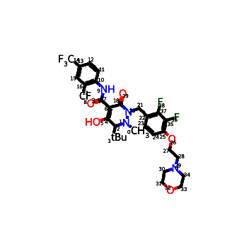 CN1C(C(C)(C)C)C(O)=C(C(=O)Nc2ccc(C(F)(F)F)cc2C(F)(F)F)C(=O)N1Cc1ccc(OCCN2CCOCC2)c(F)c1F